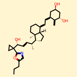 C=C1/C(=C\C=C2/CCC[C@]3(C)[C@@H]([C@H](C)/C=C/[C@@H](O)C4(c5ncc(CCC)o5)CC4)CC[C@@H]23)C[C@@H](O)C[C@@H]1O